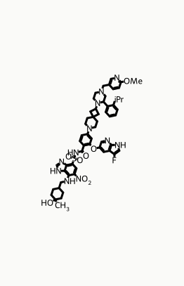 COc1ccc(CN2CCN(C3CC4(CCN(c5ccc(C(=O)NS(=O)(=O)c6cc([N+](=O)[O-])c(NCC7CCC(C)(O)CC7)c7[nH]cnc67)c(Oc6cnc7[nH]cc(F)c7c6)c5)CC4)C3)C(c3ccccc3C(C)C)C2)cn1